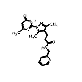 Cc1cc(=O)[nH]c(-n2nc(C)c(CCC(=O)NCc3ccccn3)c2C)n1